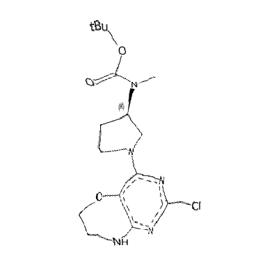 CN(C(=O)OC(C)(C)C)[C@@H]1CCN(c2nc(Cl)nc3c2OCCN3)C1